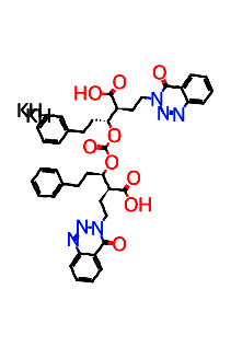 O=C(O[C@H](CCc1ccccc1)[C@H](CCn1nnc2ccccc2c1=O)C(=O)O)O[C@H](CCc1ccccc1)[C@H](CCn1nnc2ccccc2c1=O)C(=O)O.[KH].[KH]